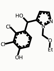 CCOCn1nccc1C(O)c1ccc(O)c(Cl)c1Cl